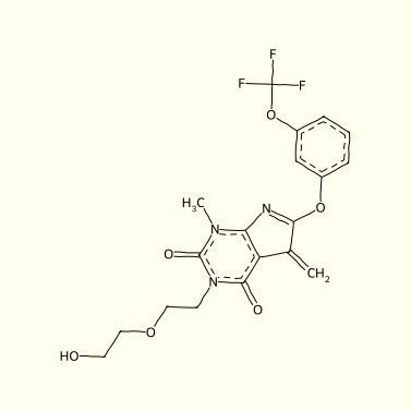 C=C1C(Oc2cccc(OC(F)(F)F)c2)=Nc2c1c(=O)n(CCOCCO)c(=O)n2C